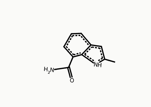 Cc1cc2cccc(C(N)=O)c2[nH]1